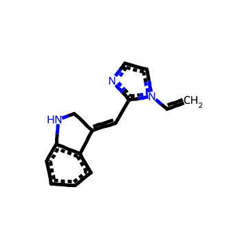 C=Cn1ccnc1/C=C1\CNc2ccccc21